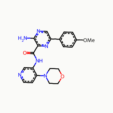 COc1ccc(-c2cnc(N)c(C(=O)Nc3cnccc3N3CCOCC3)n2)cc1